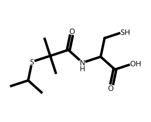 CC(C)SC(C)(C)C(=O)NC(CS)C(=O)O